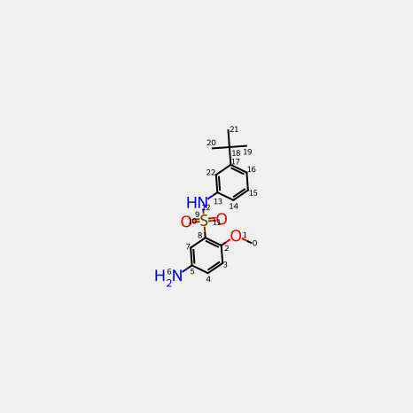 COc1ccc(N)cc1S(=O)(=O)Nc1cccc(C(C)(C)C)c1